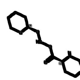 O=C(ONO[C@@H]1CCCCO1)[C@@H]1CCCCN1